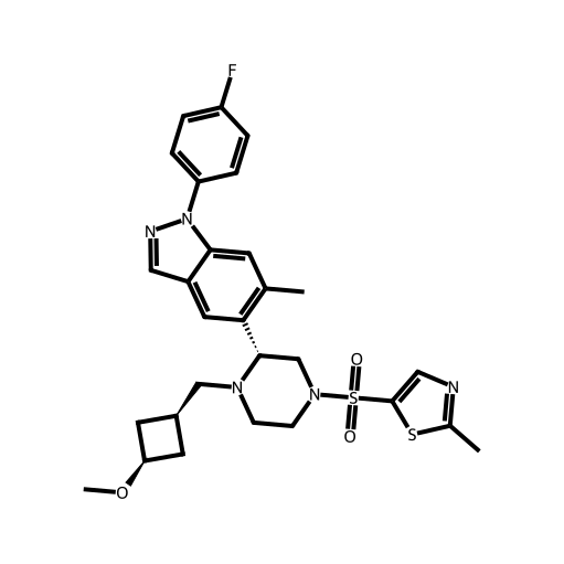 CO[C@H]1C[C@@H](CN2CCN(S(=O)(=O)c3cnc(C)s3)C[C@H]2c2cc3cnn(-c4ccc(F)cc4)c3cc2C)C1